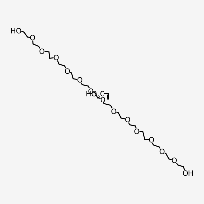 C=CC(=O)O.OCCOCCOCCOCCOCCOCCOCCOCCOCCOCCOCCOCCOCCOCCO